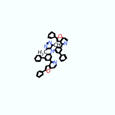 Cc1ncnc(C)c1N(c1cc(-c2ccccc2)cc(-c2nccc3oc(-c4ccccc4)cc23)c1)c1cc(-c2ccccc2)cc(-c2nccc3oc(-c4ccccc4)cc23)c1